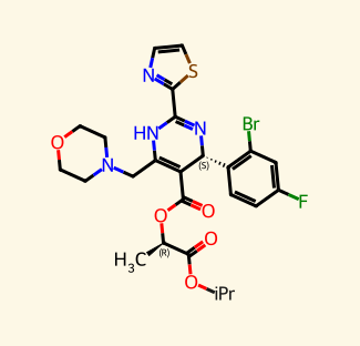 CC(C)OC(=O)[C@@H](C)OC(=O)C1=C(CN2CCOCC2)NC(c2nccs2)=N[C@@H]1c1ccc(F)cc1Br